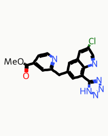 COC(=O)c1ccnc(Cc2cc(-c3nnn[nH]3)c3ncc(Cl)cc3c2)c1